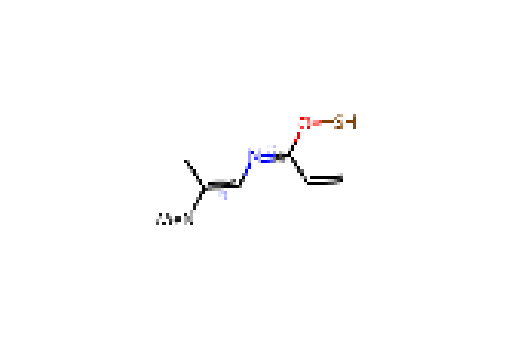 C=C/C(=N\C=C(/C)NC)OS